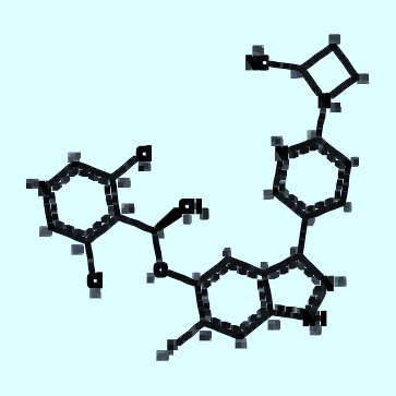 C[C@@H](Oc1cc2c(-c3ccc(N4CCC4C#N)nc3)n[nH]c2cc1F)c1c(Cl)cncc1Cl